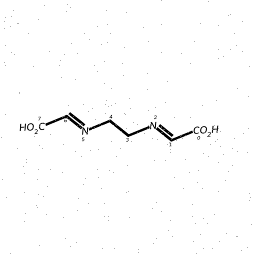 O=C(O)C=NCCN=CC(=O)O